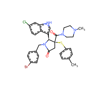 Cc1ccc(S[C@@]2(C(=O)N3CCN(C)CC3)CC(=O)N(Cc3ccc(Br)cc3)[C@H]2c2c[nH]c3cc(Cl)ccc23)cc1